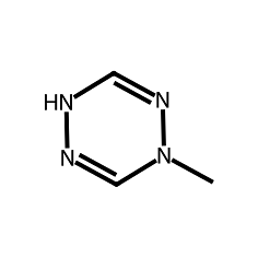 CN1C=NNC=N1